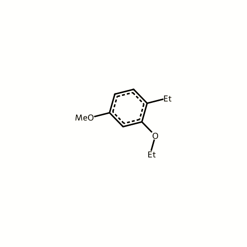 CCOc1cc(OC)ccc1CC